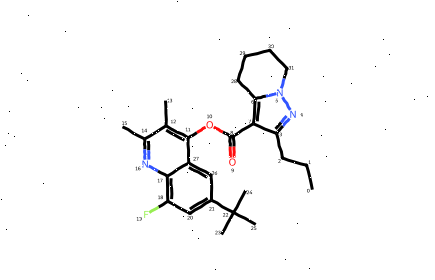 CCCc1nn2c(c1C(=O)Oc1c(C)c(C)nc3c(F)cc(C(C)(C)C)cc13)CCCC2